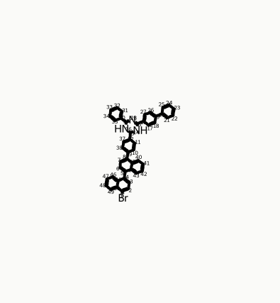 Brc1ccc(-c2ccc(-c3ccc(C4NC(c5ccc(-c6ccccc6)cc5)=NC(c5ccccc5)N4)cc3)c3ccccc23)c2ccccc12